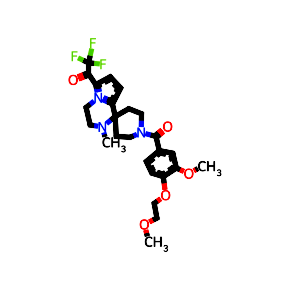 COCCOc1ccc(C(=O)N2CCC3(CC2)c2ccc(C(=O)C(F)(F)F)n2CCN3C)cc1OC